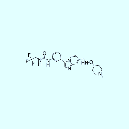 CN1CCC(ONCc2ccn3c(-c4cccc(NC(=O)NCC(F)(F)F)c4)cnc3c2)CC1